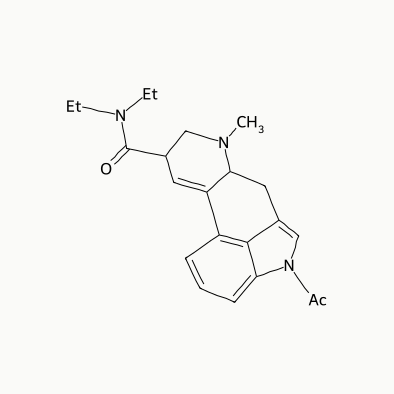 CCN(CC)C(=O)C1C=C2c3cccc4c3c(cn4C(C)=O)CC2N(C)C1